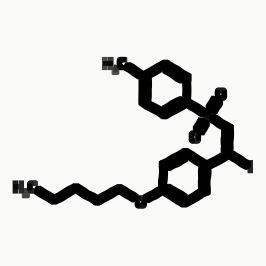 CCCCCOc1ccc(/C(I)=C\S(=O)(=O)c2ccc(C)cc2)cc1